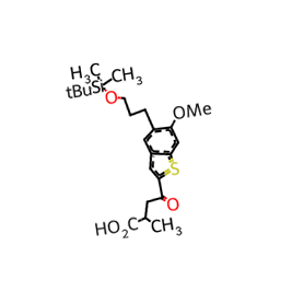 COc1cc2sc(C(=O)CC(C)C(=O)O)cc2cc1CCCO[Si](C)(C)C(C)(C)C